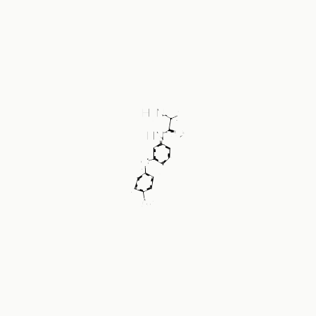 CC(=O)c1ccc(Oc2cccc(NC(=O)C(C)N)c2)cc1